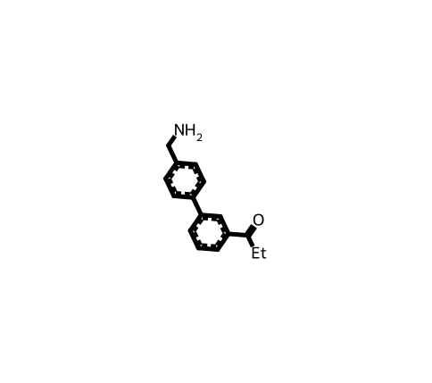 CCC(=O)c1cccc(-c2ccc(CN)cc2)c1